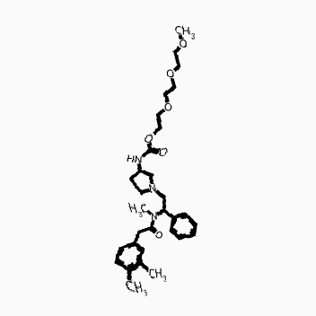 COCCOCCOCCOC(=O)NC1CCN(CC(c2ccccc2)N(C)C(=O)Cc2ccc(C)c(C)c2)C1